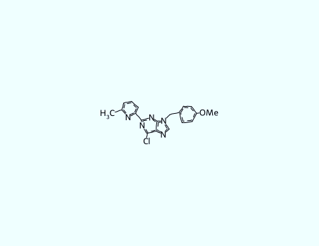 COc1ccc(Cn2cnc3c(Cl)nc(-c4cccc(C)n4)nc32)cc1